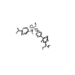 CCS(=O)(=O)N(Cc1ncc(-c2nnc(C(F)F)o2)s1)c1ccc(C(C)C)nc1